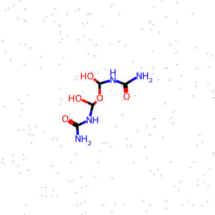 NC(=O)NC(O)OC(O)NC(N)=O